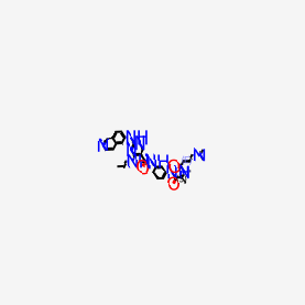 CCCNc1nc(Nc2ccc3cnccc3c2)ncc1C(=O)Nc1cccc(NC(=O)[C@H](C)N(C)C(=O)/C=C/CN(C)C)c1